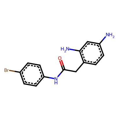 Nc1ccc(CC(=O)Nc2ccc(Br)cc2)c(N)c1